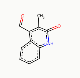 Cc1c(C=O)c2ccccc2[nH]c1=O